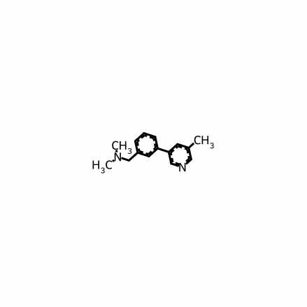 Cc1cncc(-c2cccc(CN(C)C)c2)c1